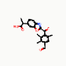 Cc1cc(C=O)c(C)c(C)c1C(=O)c1nc2ccc(C(C)C(=O)O)cc2o1